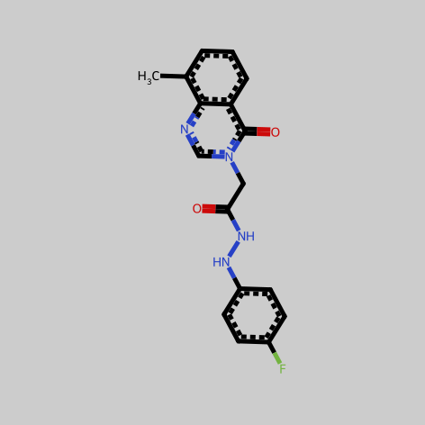 Cc1cccc2c(=O)n(CC(=O)NNc3ccc(F)cc3)cnc12